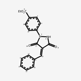 CCOC(=O)c1ccc(N2NC(=O)C(=Cc3ccccc3)C2=O)cc1